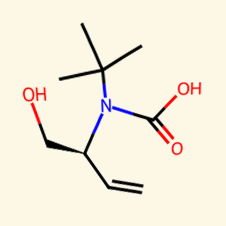 C=C[C@@H](CO)N(C(=O)O)C(C)(C)C